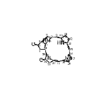 O=C1CC2=C3NC(C=C13)C=c1ccc([nH]1)=Cc1ccc([nH]1)C=C1CC(=O)C2=N1